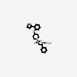 O=C(O)NC(CS(=O)(=O)N1CCC(Oc2ccccc2-c2ccno2)CC1)c1ccccc1